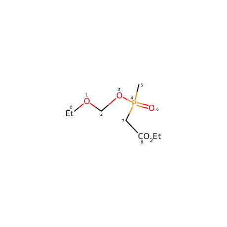 CCOCOP(C)(=O)CC(=O)OCC